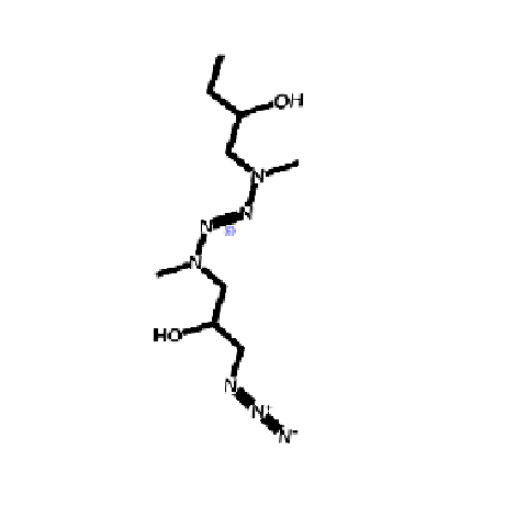 CCC(O)CN(C)/N=N/N(C)CC(O)CN=[N+]=[N-]